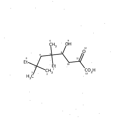 CCC(C)(C)CC(C)(CC)C(O)CC(=O)C(=O)O